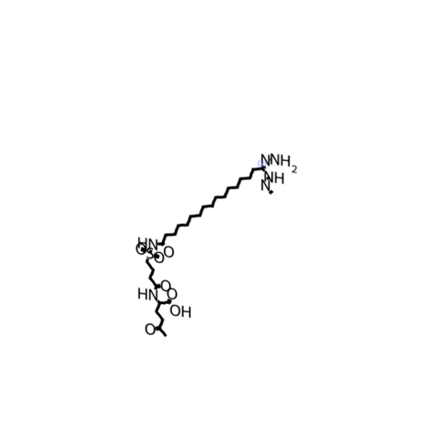 C=NN/C(CCCCCCCCCCCCCCCC(=O)NS(=O)(=O)CCCC(=O)NC(CCC(C)=O)C(=O)O)=N\N